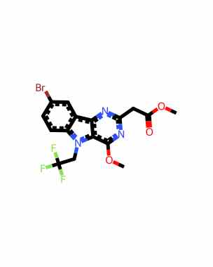 COC(=O)Cc1nc(OC)c2c(n1)c1cc(Br)ccc1n2CC(F)(F)F